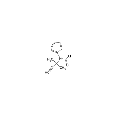 C#CC(C)(C)N(C(=O)Cl)c1ccccc1